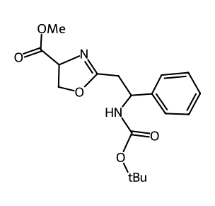 COC(=O)C1COC(CC(NC(=O)OC(C)(C)C)c2ccccc2)=N1